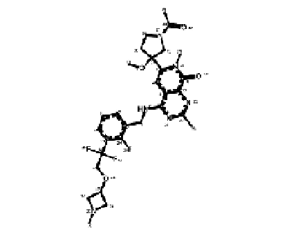 COC1(c2cc3c(NCc4cccc(C(F)(F)COC5CN(C)C5)c4F)nc(C)nc3c(=O)n2C)CCN(C(C)=O)C1